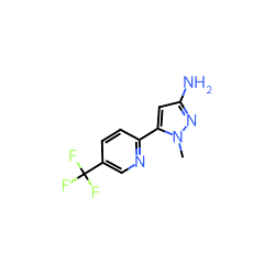 Cn1nc(N)cc1-c1ccc(C(F)(F)F)cn1